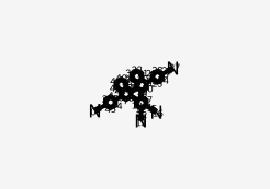 N#Cc1ccc(-c2cc3c4cc(C#N)c(C#N)cc4c4cc(-c5ccc(C#N)cc5)c5ccccc5c4c3c3ccccc23)cc1